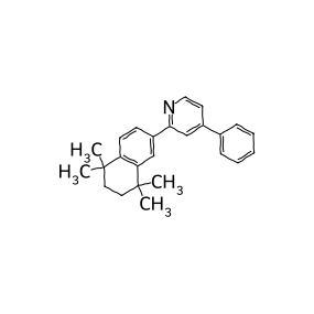 CC1(C)CCC(C)(C)c2cc(-c3cc(-c4ccccc4)ccn3)ccc21